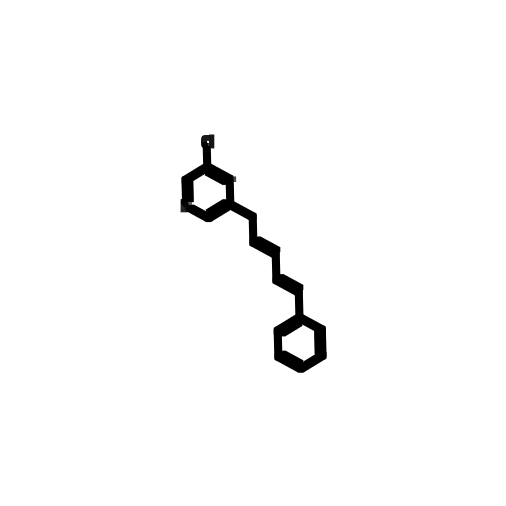 Clc1[c]c(CC=CC=Cc2ccccc2)cnc1